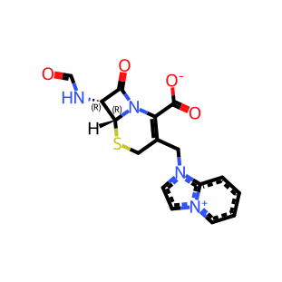 O=CN[C@@H]1C(=O)N2C(C(=O)[O-])=C(Cn3cc[n+]4ccccc34)CS[C@H]12